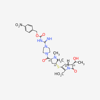 CC(O)[C@H]1C(=O)N2C(C(=O)O)=C(S[C@H]3C[C@@H](C(=O)N4CCN(C(=N)NC(=O)OCc5ccc([N+](=O)[O-])cc5)CC4)N(C)C3)[C@H](C)[C@H]12